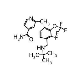 CC(C)(C)NCc1cccc(OC(F)(F)F)c1F.Cc1cc(C(N)=O)ccn1